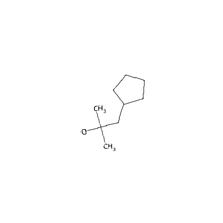 CC(C)([O])CC1CCCC1